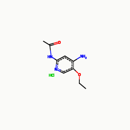 CCOc1cnc(NC(C)=O)cc1N.Cl